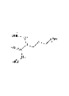 CCCCCCCCCCCC(O[C]=O)C(=O)OCCCC